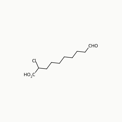 O=CCCCCCCCC(Cl)C(=O)O